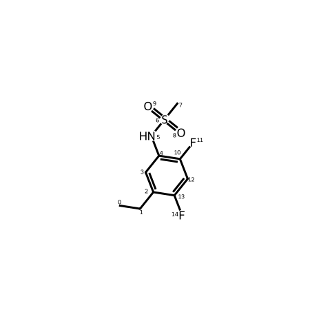 CCc1cc(NS(C)(=O)=O)c(F)cc1F